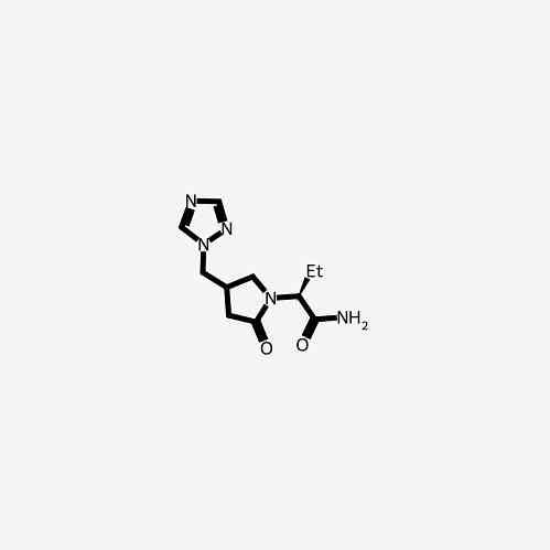 CC[C@@H](C(N)=O)N1CC(Cn2cncn2)CC1=O